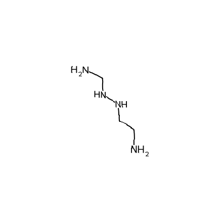 NCCNNCN